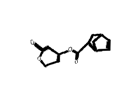 O=C1CC(OC(=O)C2CC3C=CC2C3)CCO1